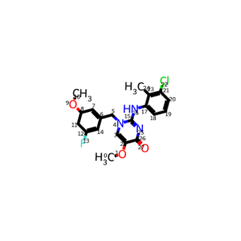 COc1cn(CC2=CC(OC)CC(F)=C2)c(Nc2cccc(Cl)c2C)nc1=O